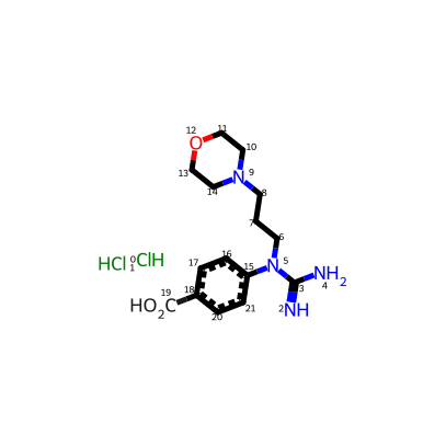 Cl.Cl.N=C(N)N(CCCN1CCOCC1)c1ccc(C(=O)O)cc1